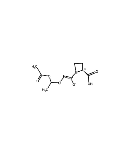 CC(=O)OC(C)ON=[N+]([O-])N1CC[C@H]1C(=O)O